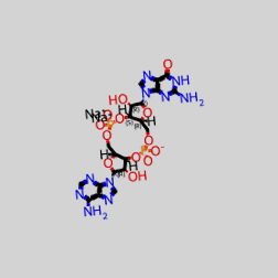 Nc1nc2c(ncn2[C@@H]2O[C@@H]3COP(=O)([O-])O[C@H]4[C@@H](O)[C@H](n5cnc6c(N)ncnc65)O[C@@H]4COP(=O)([O-])O[C@H]3[C@H]2O)c(=O)[nH]1.[Na+].[Na+]